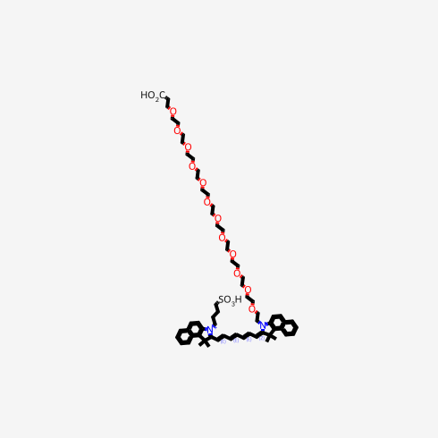 CC1(C)C(/C=C/C=C/C=C/C=C2\N(CCOCCOCCOCCOCCOCCOCCOCCOCCOCCOCCOCCOCCC(=O)O)c3ccc4ccccc4c3C2(C)C)=[N+](CCCCS(=O)(=O)O)c2ccc3ccccc3c21